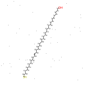 OCCCCCCCCCCCCCCCCCCCCCCCCCCCCCCCCCCCCCCCS